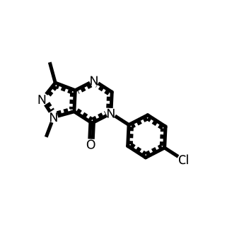 Cc1nn(C)c2c(=O)n(-c3ccc(Cl)cc3)cnc12